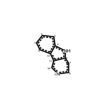 [c]1cccc2[nH]c3ccncc3c12